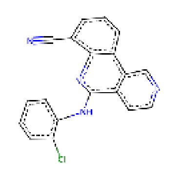 N#Cc1cccc2c1nc(Nc1ccccc1Cl)c1ccncc12